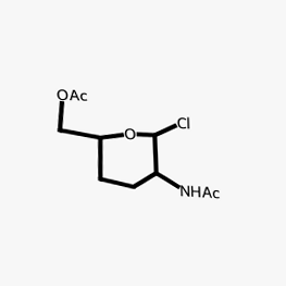 CC(=O)NC1CCC(COC(C)=O)OC1Cl